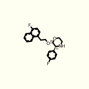 Fc1ccc([C@@H]2NCCO[C@H]2OCCc2ccc(F)c3ccccc23)cc1